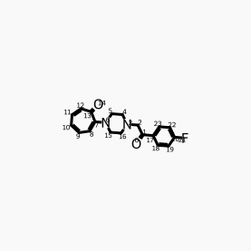 O=C(CN1CCN(c2cccccc2=O)CC1)c1ccc(F)cc1